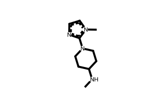 CNC1CCN(c2nccn2C)CC1